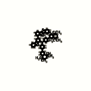 CC1(C)CCC(C)(C)c2cc(-c3ccc(N(c4ccc(-c5ccc6c(c5)C(C)(C)CCC6(C)C)cc4)c4cc(-c5cccc6c5[nH]c5c7ccccc7sc65)cc5c4oc4ccccc45)cc3)ccc21